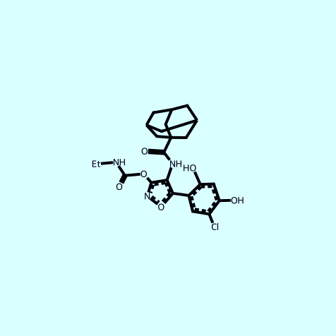 CCNC(=O)Oc1noc(-c2cc(Cl)c(O)cc2O)c1NC(=O)C12CC3CC(CC(C3)C1)C2